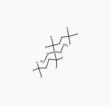 C[O][Sn]([O]C)([C](F)(F)CCC(F)(F)F)[C](F)(F)CCC(F)(F)F